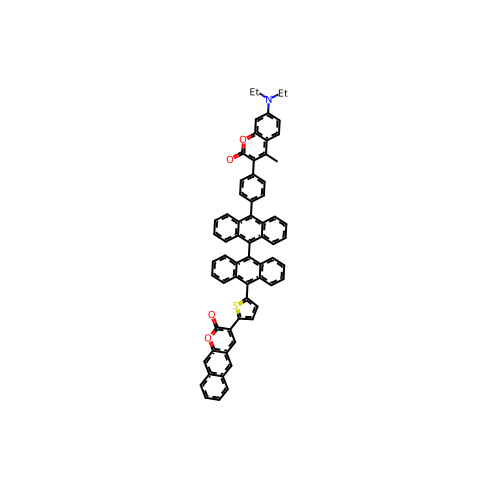 CCN(CC)c1ccc2c(C)c(-c3ccc(-c4c5ccccc5c(-c5c6ccccc6c(-c6ccc(-c7cc8cc9ccccc9cc8oc7=O)s6)c6ccccc56)c5ccccc45)cc3)c(=O)oc2c1